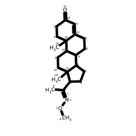 CO/N=C(\C)C1CCC2C3CCC4=CC(=O)CCC4(C)C3CCC12C